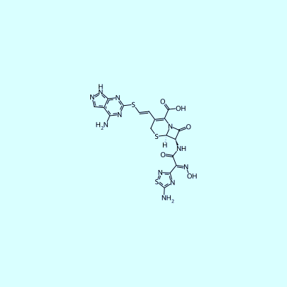 Nc1nc(C(=NO)C(=O)N[C@@H]2C(=O)N3C(C(=O)O)=C(/C=C/Sc4nc(N)c5cn[nH]c5n4)CS[C@H]23)ns1